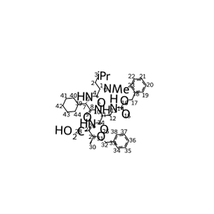 CN[C@@H](CC(C)C)C(=O)N[C@H](C(=O)N[C@@H](CNC(=O)OCc1ccccc1)C(=O)N[C@H](C(=O)O)[C@H](C)OCc1ccccc1)C1CCCCC1